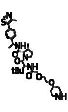 Cc1ncsc1-c1ccc([C@H](C)NC(=O)[C@@H]2[C@@H](C)CCN2C(=O)[C@@H](NC(=O)COCCOC2CCNCC2)C(C)(C)C)cc1